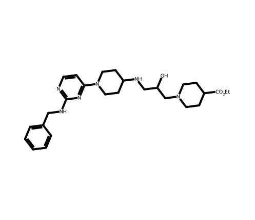 CCOC(=O)C1CCN(CC(O)CNC2CCN(c3ccnc(NCc4ccccc4)n3)CC2)CC1